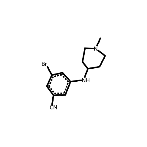 CN1CCC(Nc2cc(Br)cc(C#N)c2)CC1